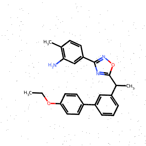 CCOc1ccc(-c2cccc(C(C)c3nc(-c4ccc(C)c(N)c4)no3)c2)cc1